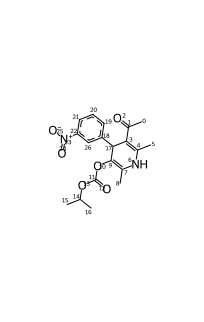 CC(=O)C1=C(C)NC(C)=C(OC(=O)OC(C)C)C1c1cccc([N+](=O)[O-])c1